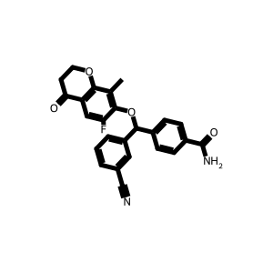 Cc1c(OC(c2ccc(C(N)=O)cc2)c2cccc(C#N)c2)c(F)cc2c1OCCC2=O